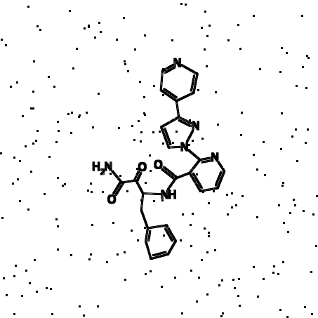 NC(=O)C(=O)C(Cc1ccccc1)NC(=O)c1cccnc1-n1ccc(-c2ccncc2)n1